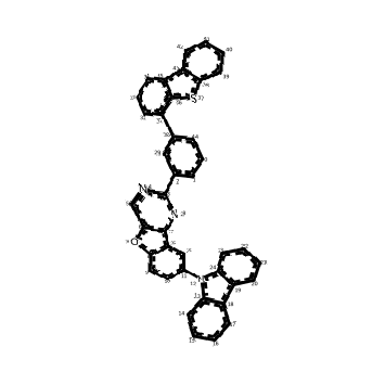 c1cc(-c2ncc3oc4ccc(-n5c6ccccc6c6ccccc65)cc4c3n2)cc(-c2cccc3c2sc2ccccc23)c1